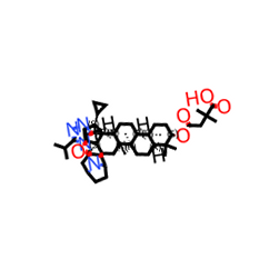 Cc1nnc(C(C)C)n1C1CC2CCC(C1)N2C(=O)[C@]12CC[C@@H](C3CC3)[C@@H]1[C@H]1CC[C@@H]3[C@@]4(C)CC[C@H](OC(=O)CC(C)(C)C(=O)O)C(C)(C)[C@@H]4CC[C@@]3(C)[C@]1(C)CC2